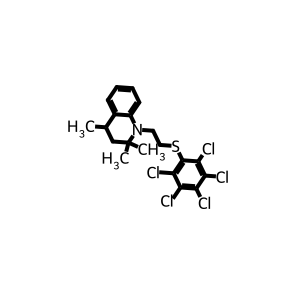 CC1CC(C)(C)N(CCSc2c(Cl)c(Cl)c(Cl)c(Cl)c2Cl)c2ccccc21